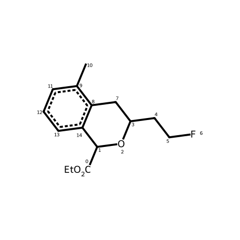 CCOC(=O)C1OC(CCF)Cc2c(C)cccc21